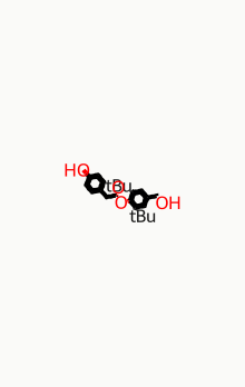 CC(C)(C)c1cc(CO)cc(C(C)(C)C)c1OC(=O)Cc1ccc(O)cc1